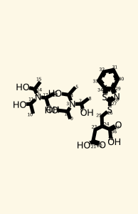 CC(O)N(C(C)O)C(C)O.CC(O)N(C(C)O)C(C)O.O=C(O)CC(CSc1nc2ccccc2s1)C(=O)O